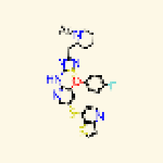 CC(=O)N1CCCCC1Cc1nsc(Nc2ncc(Sc3ccnc4ccsc34)cc2Oc2ccc(F)cc2)n1